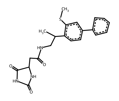 CSc1cc(-c2ccccc2)ccc1C(C)CNC(=O)CC1NC(=O)NC1=O